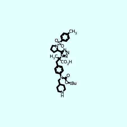 Cc1ccc(S(=O)(=O)N2CCCC2c2nnnn2[C@@](C)(Cc2ccc(N(CC3CCNCC3)C(=O)OC(C)(C)C)cc2)C(=O)O)cc1